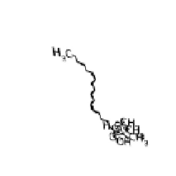 CCCCC/C=C\CCCC/C=C\CCCCOP(=O)(O)C(CC)[N+](C)(C)C